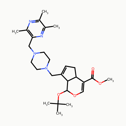 COC(=O)C1=COC(OC(C)(C)C)C2C(CN3CCN(Cc4nc(C)c(C)nc4C)CC3)=CCC12